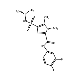 Cc1c(S(=O)(=O)N[C@H](C)C(F)(F)F)cc(C(=O)Nc2ccc(F)c(Br)c2)n1C